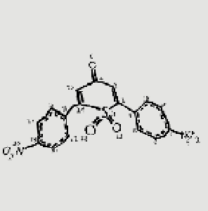 O=C1C=C(c2ccc([N+](=O)[O-])cc2)S(=O)(=O)C(c2ccc([N+](=O)[O-])cc2)=C1